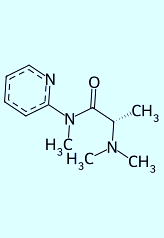 C[C@@H](C(=O)N(C)c1ccccn1)N(C)C